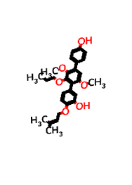 CCCOc1c(OC)c(-c2ccc(O)cc2)cc(OC)c1-c1ccc(OCC=C(C)C)c(O)c1